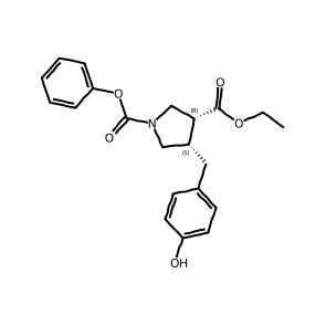 CCOC(=O)[C@H]1CN(C(=O)Oc2ccccc2)C[C@H]1Cc1ccc(O)cc1